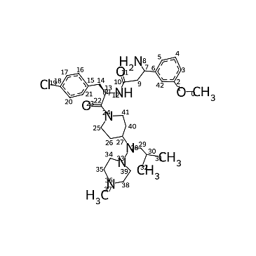 COc1cccc(C(N)CC(=O)N[C@H](Cc2ccc(Cl)cc2)C(=O)N2CCC(N(CC(C)C)N3CCN(C)CC3)CC2)c1